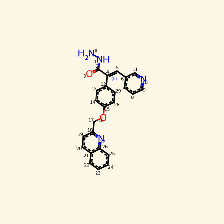 NNC(=O)/C(=C/c1cccnc1)c1ccc(OCc2ccc3ccccc3n2)cc1